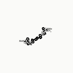 CN[C@@H](C)C(=O)N[C@H](C(=O)N1CCC[C@H]1C(=O)N[C@@H]1CCCc2c(-c3ccc4cc(-c5cccc6c5CCC[C@H]6NC(=O)[C@@H]5CCCN5C(=O)[C@@H](NC(=O)[C@H](C)NC)C5CCCCC5)ccc4c3)cccc21)C1CCCCC1